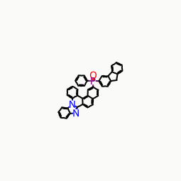 O=P(c1ccccc1)(c1ccc2c(c1)-c1ccccc1C2)c1ccc2ccc3c(c2c1)c1ccccc1n1c2ccccc2nc31